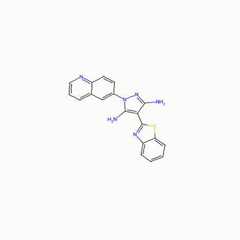 Nc1nn(-c2ccc3ncccc3c2)c(N)c1-c1nc2ccccc2s1